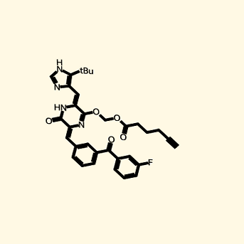 C#CCCCC(=O)OCOc1n/c(=C\c2cccc(C(=O)c3cccc(F)c3)c2)c(=O)[nH]/c1=C\c1nc[nH]c1C(C)(C)C